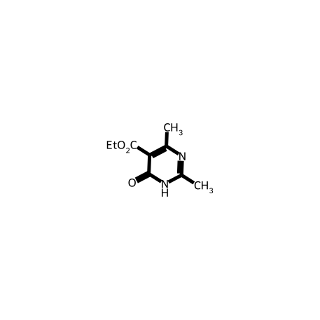 CCOC(=O)c1c(C)nc(C)[nH]c1=O